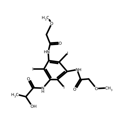 COCC(=O)Nc1c(I)c(NC(=O)COC)c(I)c(NC(=O)C(C)O)c1I